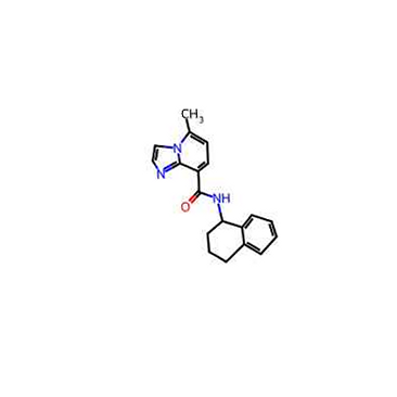 Cc1ccc(C(=O)NC2CCCc3ccccc32)c2nccn12